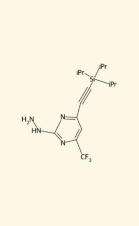 CC(C)[Si](C#Cc1cc(C(F)(F)F)nc(NN)n1)(C(C)C)C(C)C